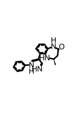 C[C@@H]1CC(=O)Nc2cccc(/C(C=N)=C/Nc3ccccc3)c2N1